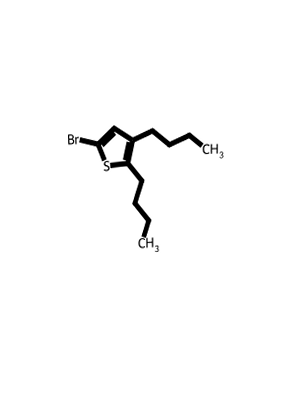 CCCCc1cc(Br)sc1CCCC